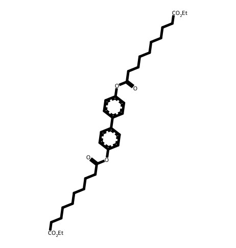 CCOC(=O)CCCCCCCCC(=O)Oc1ccc(-c2ccc(OC(=O)CCCCCCCCC(=O)OCC)cc2)cc1